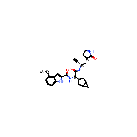 C#C[C@H](C[C@@H]1CCNC1=O)NC(=O)[C@@H](NC(=O)c1cc2c(OC)cccc2[nH]1)C1CC2CC2C1